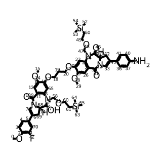 COc1ccc(C2=CN3C(=O)c4cc(OC)c(OCCCOc5cc6c(cc5OC)C(=O)N5C=C(c7ccc(N)cc7)C[C@H]5C(=O)N6COCC[Si](C)(C)C)cc4N(COCC[Si](C)(C)C)C(O)[C@@H]3C2)cc1F